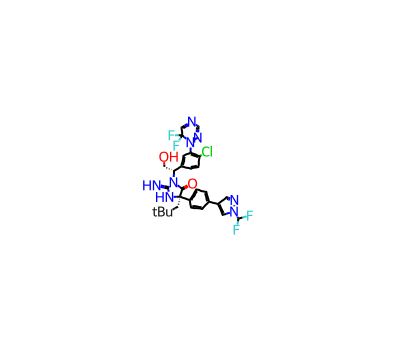 CC(C)(C)C[C@]1(c2ccc(-c3cnn(C(F)F)c3)cc2)NC(=N)N([C@H](CO)c2ccc(Cl)c(N3N=CN=CC3(F)F)c2)C1=O